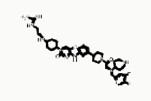 N=C(N)NCCCNC1CCC(n2cc3c(nc2=O)Nc2cc(C4CCN(C(=O)CN(Cc5ccc(F)c(F)c5)C5CCNCC5)CC4)ccc2O3)CC1